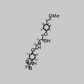 COCCc1ccc(OCC(O)CNCCOc2ccc(NS(C)(=O)=O)cc2)cc1